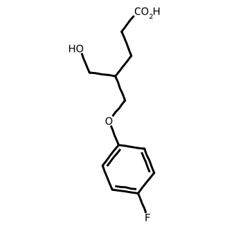 O=C(O)CCC(CO)COc1ccc(F)cc1